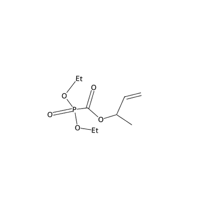 C=CC(C)OC(=O)P(=O)(OCC)OCC